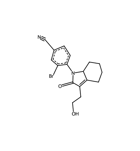 N#Cc1ccc(N2C(=O)C(CCO)=C3CCCCC32)c(Br)c1